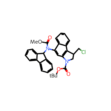 COC(=O)N(c1cc2c(c3ccccc13)C(CCl)CN2C(=O)OC(C)(C)C)C1c2ccccc2-c2ccccc21